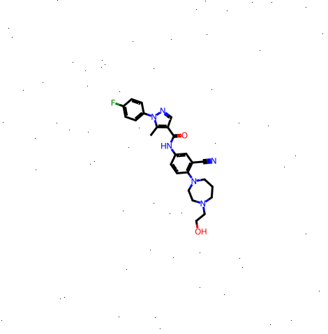 Cc1c(C(=O)Nc2ccc(N3CCCN(CCO)CC3)c(C#N)c2)cnn1-c1ccc(F)cc1